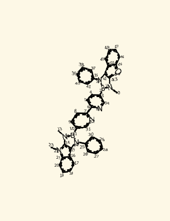 CN1B(c2ccc(-c3ccc(B4N(C)c5c(c6ccccc6n5C)N4c4ccccc4)cn3)nc2)N(c2ccccc2)c2c1oc1ccccc21